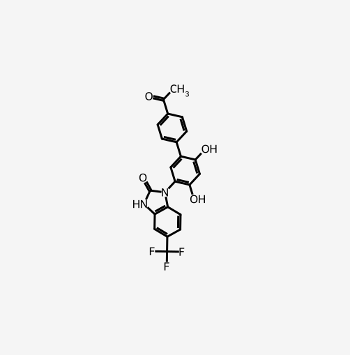 CC(=O)c1ccc(-c2cc(-n3c(=O)[nH]c4cc(C(F)(F)F)ccc43)c(O)cc2O)cc1